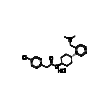 CN(C)Cc1ccccc1[C@H]1CC[C@H](OC(=O)Cc2ccc(Cl)cc2)CC1.Cl